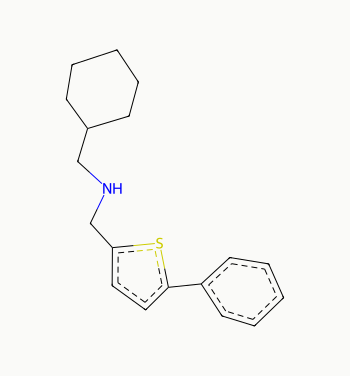 c1ccc(-c2ccc(CNCC3CCCCC3)s2)cc1